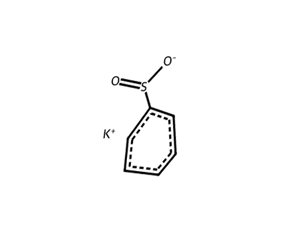 O=S([O-])c1ccccc1.[K+]